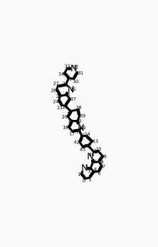 c1cnc2c(c1)ccc1ccc(-c3ccc(-c4ccc5cc(-c6ccc7ccc(-c8ccncc8)nc7c6)ccc5n4)cc3)nc12